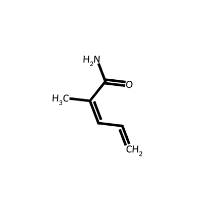 C=C/C=C(/C)C(N)=O